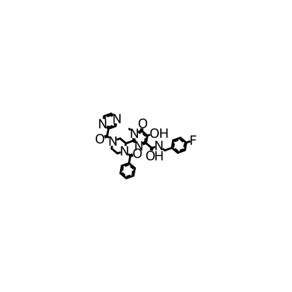 Cn1c(C2CN(C(=O)c3cnccn3)CCN2C(=O)c2ccccc2)nc(C(=O)NCc2ccc(F)cc2)c(O)c1=O